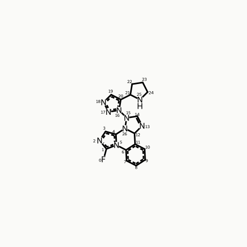 Fc1ncc2n1-c1ccccc1C1N=CN(n3nncc3C3CCCN3)N21